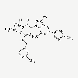 CC(=O)c1nn(CC(=O)N2[C@H](C(=O)NCc3cccc(C)c3)C[C@@]3(C)C[C@@H]23)c2c(C)cc(-c3cnc(C)nc3)cc12